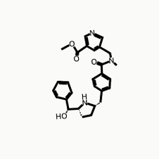 COC(=O)c1cncc(CN(C)C(=O)c2ccc(C[C@@H]3CC[C@H]([C@H](O)c4ccccc4)N3)cc2)c1